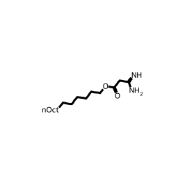 CCCCCCCCCCCCCCOC(=O)CC(=N)N